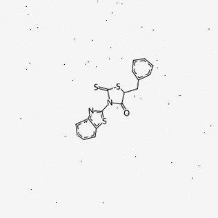 O=C1C(Cc2ccccc2)SC(=S)N1c1nc2ccccc2s1